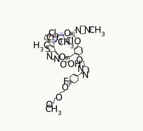 COCCOCCOC[C@@]1(F)CC=C(c2nccc(COc3ccc4cc3C[C@H](C(=O)O)Oc3ncnc5sc(C6CCC6)c(c35)/C(C(C)C)=C(C)/C(Cl)=C(\CCl)O[C@H](CN3CCN(C)CC3)CO4)n2)CC1